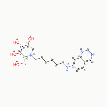 OC[C@@H]1[C@@H](O)[C@H](O)[C@@H](O)CN1CCCCCCNc1ccc2cncnc2c1